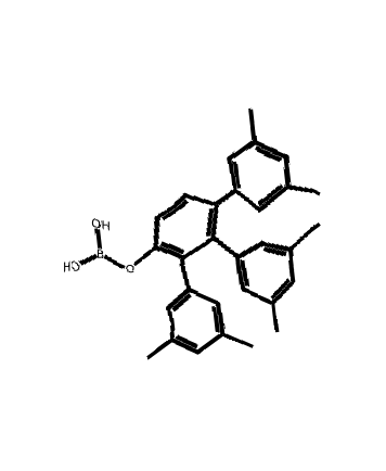 Cc1cc(C)cc(-c2ccc(OB(O)O)c(-c3cc(C)cc(C)c3)c2-c2cc(C)cc(C)c2)c1